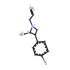 C=CCN1CC(c2ccc(Br)cc2)[C@H]1C#N